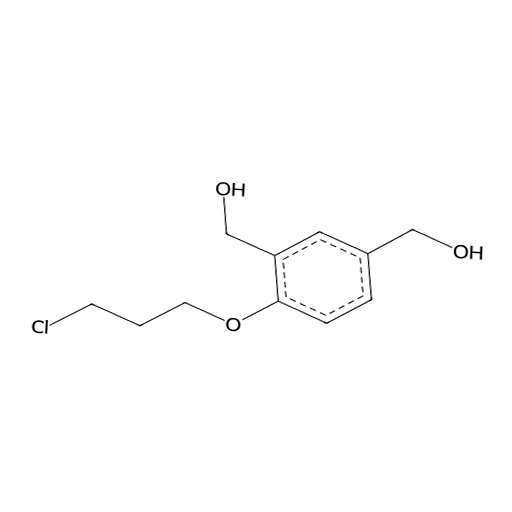 OCc1ccc(OCCCCl)c(CO)c1